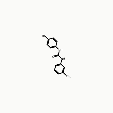 O=C(Nc1ccc(Br)cc1)Nc1cccc(C(F)(F)F)c1